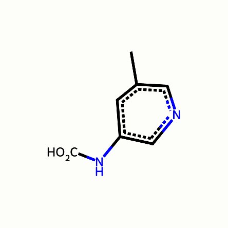 Cc1cncc(NC(=O)O)c1